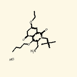 CCCCOc1c2c(c(=O)n(CC(C)(C)C)c1CN)C=C(OCC)CC2=O.Cl